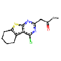 COC(=O)Cc1nc(Cl)c2c3c(sc2n1)CCCC3